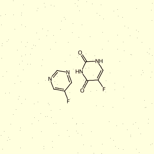 Fc1cncnc1.O=c1[nH]cc(F)c(=O)[nH]1